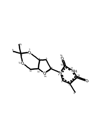 Cc1cn(C2CC3OC(C)(C)OCC3O2)c(=O)[nH]c1=O